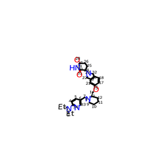 CCN(CC)c1ccc(CN2CCCC[C@@H]2COc2ccc3c(c2)CN(C2CCC(=O)NC2=O)C3)cn1